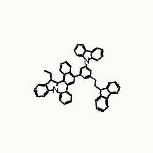 CCC1c2ccccc2N2c3ccccc3-c3cc(-c4cc(CCC5c6ccccc6-c6ccccc65)cc(-n5c6ccccc6c6ccccc65)c4)c4ccccc4c3C12